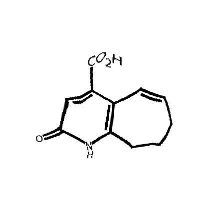 O=C(O)c1cc(=O)[nH]c2c1C=CCCC2